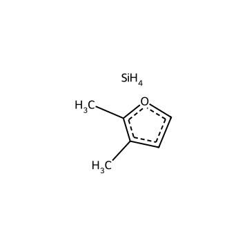 Cc1ccoc1C.[SiH4]